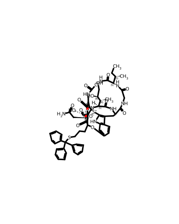 CC[C@H](C)[C@@H]1NC(=O)CNC(=O)C2Cc3c4[nH]c5cc(ccc35)OC(CCCSC(c3ccccc3)(c3ccccc3)c3ccccc3)(C(=O)[C@H](CC(N)=O)NC(=O)C(C[S+]4[O-])NC(=O)CNC1=O)N1C[C@H](O)C[C@]1(C=O)N[C@@H]([C@@H](C)[C@@H](O)CO)C(=O)N2